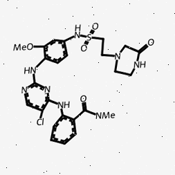 CNC(=O)c1ccccc1Nc1nc(Nc2ccc(NS(=O)(=O)CCN3CCNC(=O)C3)cc2OC)ncc1Cl